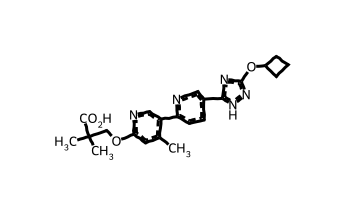 Cc1cc(OCC(C)(C)C(=O)O)ncc1-c1ccc(-c2nc(OC3CCC3)n[nH]2)cn1